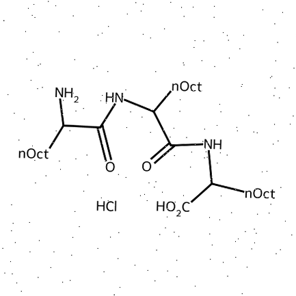 CCCCCCCCC(N)C(=O)NC(CCCCCCCC)C(=O)NC(CCCCCCCC)C(=O)O.Cl